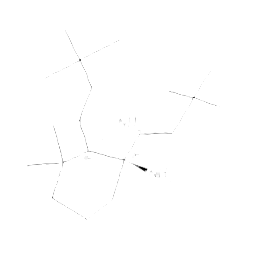 CC(C)(C)CC[C@]1(N)CCCC(C)(C)[C@@]1(N)CCC(C)(C)C